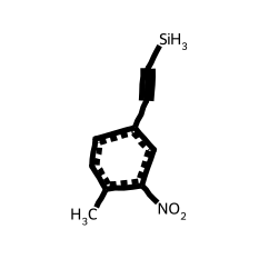 Cc1ccc(C#C[SiH3])cc1[N+](=O)[O-]